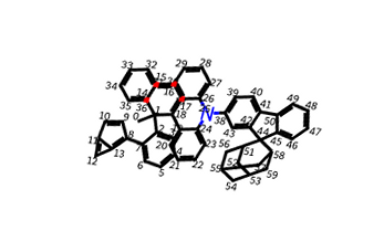 CC1(c2ccccc2-c2ccc3cc2-3)CC=CC=C1c1ccccc1N(c1cccc(-c2ccccc2)c1)c1ccc2c(c1)C1(c3ccccc3-2)C2CC3CC(C2)CC1C3